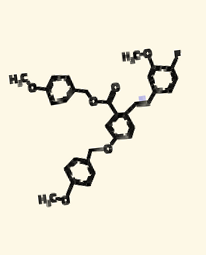 COc1ccc(COC(=O)c2cc(OCc3ccc(OC)cc3)ccc2/C=C/c2ccc(F)c(OC)c2)cc1